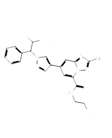 CC[C@H](C)NC(=O)c1cc(-c2cnn(C(c3ccccc3)C(C)C)c2)cc2nc(N)nn12